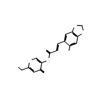 Nc1cc2c(cc1/C=C/C(=O)Oc1coc(CO)cc1=O)OCO2